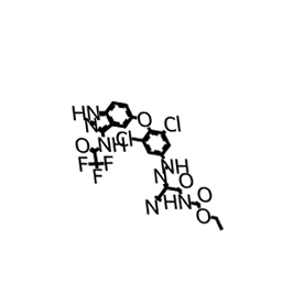 CCOC(=O)NC(=O)C(C#N)=NNc1cc(Cl)c(Oc2ccc3[nH]nc(NC(=O)C(F)(F)F)c3c2)c(Cl)c1